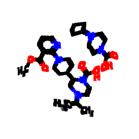 COC(=O)c1cccnc1N1CCC(C2CN(C(C)C)CCN2C(=O)O)CC1.O=C(O)N1CCN(C2CCC2)CC1